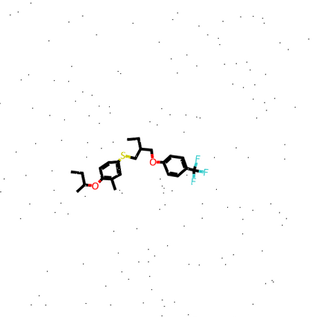 CCC(COc1ccc(C(F)(F)F)cc1)CSc1ccc(OC(C)CC)c(C)c1